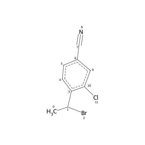 CC(Br)c1ccc(C#N)cc1Cl